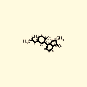 CC(C)CC1=CCC(=S)C(c2cccc3c2CC(C)C3=O)=C1